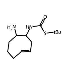 CC(C)(C)SC(=O)NC1C/C=C/CCCC1N